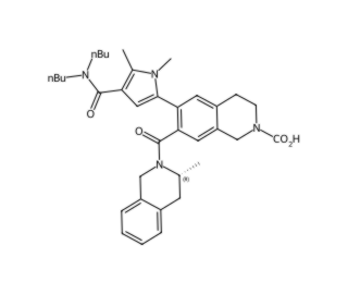 CCCCN(CCCC)C(=O)c1cc(-c2cc3c(cc2C(=O)N2Cc4ccccc4C[C@H]2C)CN(C(=O)O)CC3)n(C)c1C